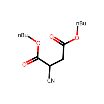 CCCCOC(=O)CC(C#N)C(=O)OCCCC